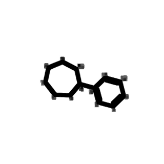 c1ccc(C2CCCCCC2)cc1